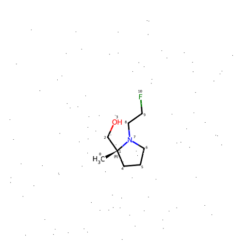 C[C@]1(CO)CCCN1CCF